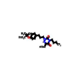 CCCCCCc1nn(CCCc2ccc(OC(C)(C)C(=O)OCC)cc2)c(=O)n(CCCC(F)(F)F)c1=O